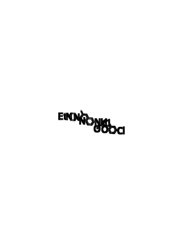 CCN1CCN(c2nc3ccc(NC(=O)COc4ccc(Cl)cc4Cl)cc3cc2C)CC1